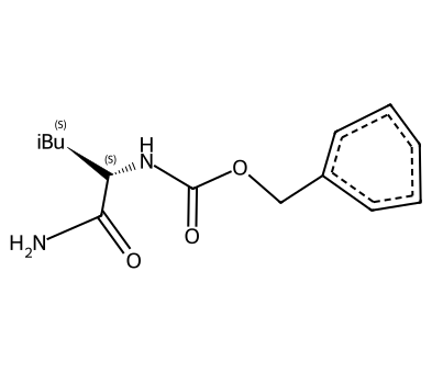 CC[C@H](C)[C@H](NC(=O)OCc1ccccc1)C(N)=O